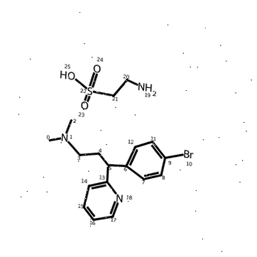 CN(C)CCC(c1ccc(Br)cc1)c1ccccn1.NCCS(=O)(=O)O